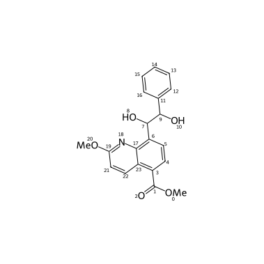 COC(=O)c1ccc(C(O)C(O)c2ccccc2)c2nc(OC)ccc12